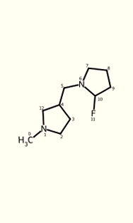 CN1CCC(CN2CCCC2F)C1